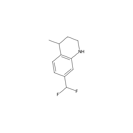 CC1CCNc2cc(C(F)F)ccc21